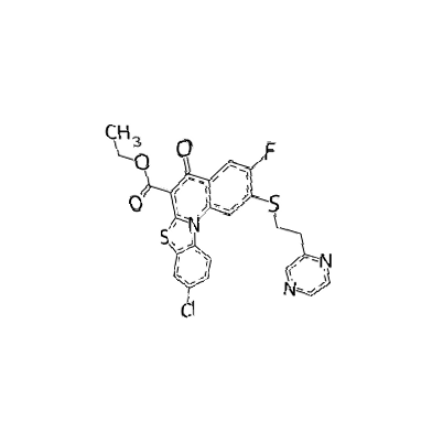 CCOC(=O)c1c(=O)c2cc(F)c(SCCc3cnccn3)cc2n2c1sc1cc(Cl)ccc12